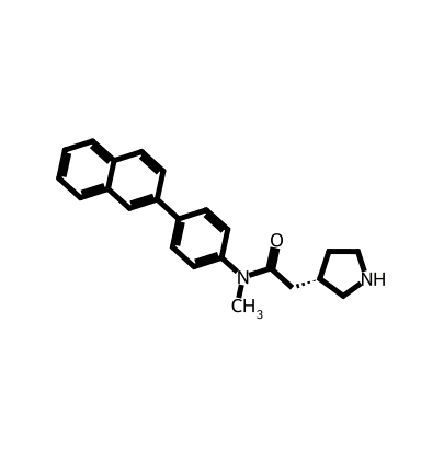 CN(C(=O)C[C@@H]1CCNC1)c1ccc(-c2ccc3ccccc3c2)cc1